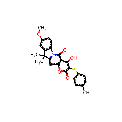 COc1ccc2c(c1)C(C)(C)c1cc3oc(=O)c(Sc4ccc(C)cc4)c(O)c3c(=O)n1-2